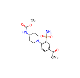 COC(=O)c1ccc(N2CCC(NC(=O)OC(C)(C)C)CC2)c(S(N)(=O)=O)c1